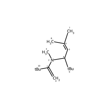 C=C(N(C)C(C=C(C)C)C(C)(C)C)C(C)(C)C